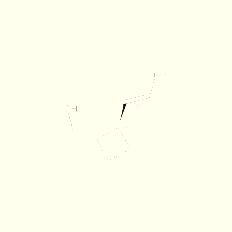 CCC/C=C/[C@H]1CC[C@@H]1CO